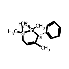 CC1=CC[Si](C)(C)[Si](C)(C)[C@@H]1c1ccccc1